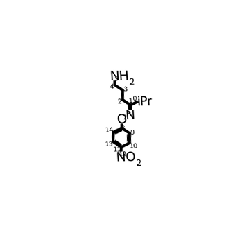 CC(C)C(CCCN)=NOc1ccc([N+](=O)[O-])cc1